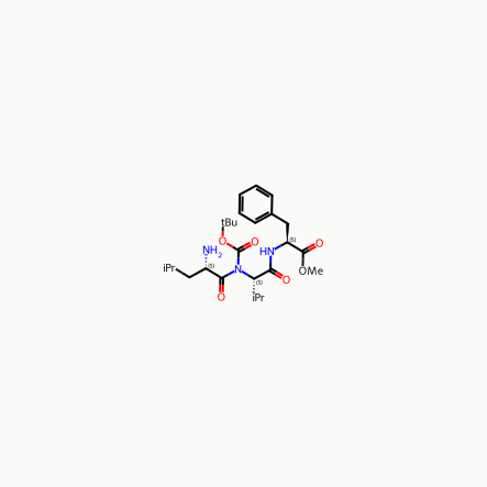 COC(=O)[C@H](Cc1ccccc1)NC(=O)[C@H](C(C)C)N(C(=O)OC(C)(C)C)C(=O)[C@@H](N)CC(C)C